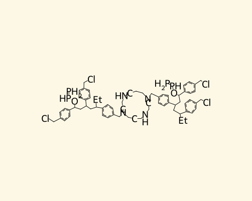 CCC(CC(CC(OPP)c1ccc(CCl)cc1)c1ccc(CCl)cc1)c1ccc(CN2CCCNCCN(Cc3ccc(C(CC(CC)c4ccc(CCl)cc4)CC(OPP)c4ccc(CCl)cc4)cc3)CCCNCC2)cc1